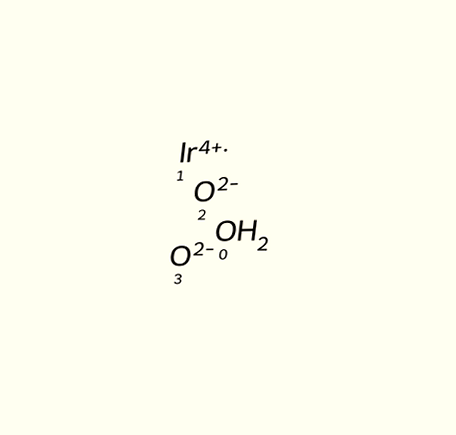 O.[Ir+4].[O-2].[O-2]